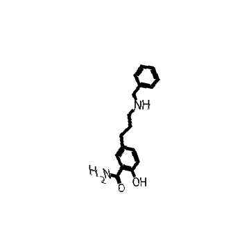 NC(=O)c1cc(CCCNCc2ccccc2)ccc1O